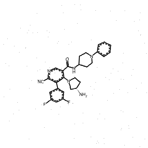 N#Cc1ncc(C(=O)NC2CCN(c3ccccc3)CC2)c(N2CC[C@H](N)C2)c1-c1cc(F)cc(F)c1